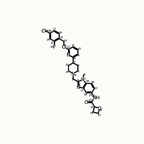 Cn1c(CN2CCC(c3cccc(OCc4ccc(Cl)cc4F)n3)CC2)nc2cc(NC(=O)C3CCO3)ccc21